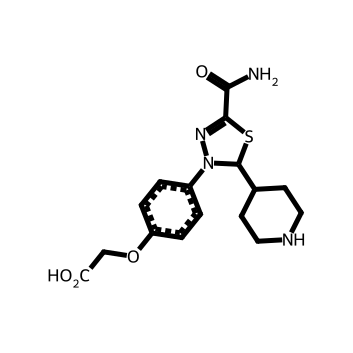 NC(=O)C1=NN(c2ccc(OCC(=O)O)cc2)C(C2CCNCC2)S1